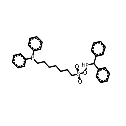 O=S(=O)(CCCCCCCP(c1ccccc1)c1ccccc1)OPC(c1ccccc1)c1ccccc1